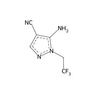 N#Cc1cnn(CC(F)(F)F)c1N